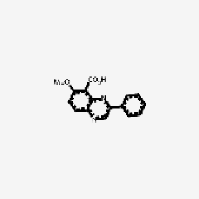 COc1ccc2ncc(-c3ccccc3)nc2c1C(=O)O